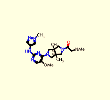 CNCC(=O)N1C[C@@]2(C)CN(c3nc(Nc4cnn(C)c4)ncc3OC)C[C@@]2(C)C1